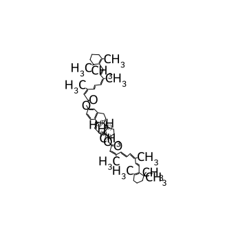 CC(C=CC1=C(C)CCCC1(C)C)=CC=CC(C)=CC(=O)Oc1ccc2c(c1)CC[C@@H]1[C@@H]2CC[C@]2(C)[C@@H](OC(=O)C=C(C)C=CC=C(C)C=CC3=C(C)CCCC3(C)C)CC[C@@H]12